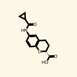 O=C(Nc1ccc2c(c1)CC[C@H](C(=O)O)O2)C1CC1